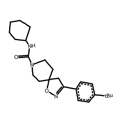 CC(C)(C)c1ccc(C2=NOC3(CCN(C(=O)NC4CCCCC4)CC3)C2)cc1